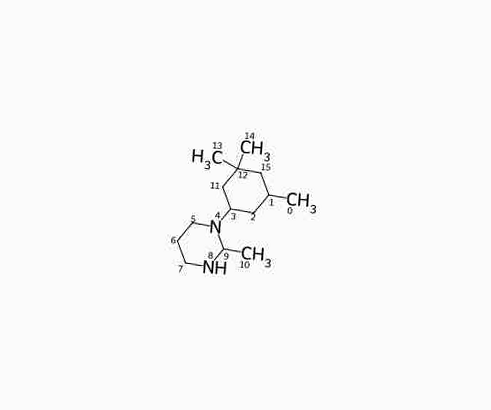 CC1CC(N2CCCNC2C)CC(C)(C)C1